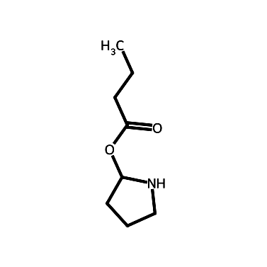 CCCC(=O)OC1CCCN1